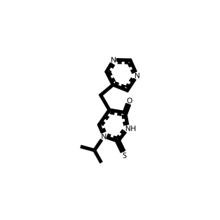 CC(C)n1cc(Cc2cncnc2)c(=O)[nH]c1=S